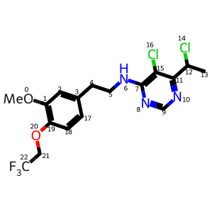 COc1cc(CCNc2ncnc(C(C)Cl)c2Cl)ccc1OCC(F)(F)F